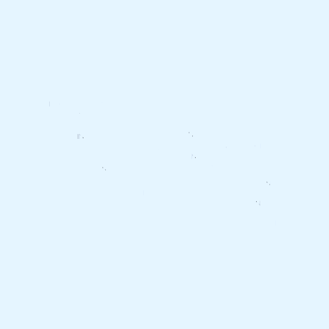 CC(=O)Nc1nc(C)c(-c2cnn(S(=O)(=O)c3c(C)nn(C)c3Cl)c2)s1